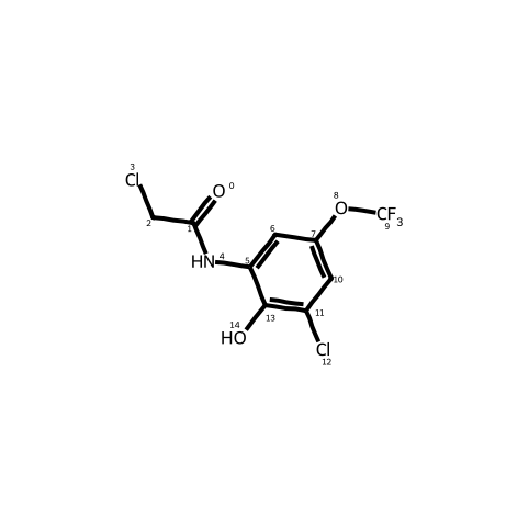 O=C(CCl)Nc1cc(OC(F)(F)F)cc(Cl)c1O